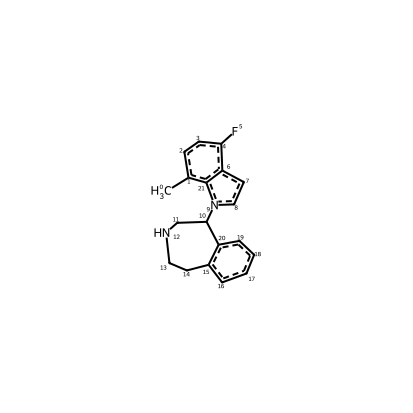 Cc1ccc(F)c2ccn(C3CNCCc4ccccc43)c12